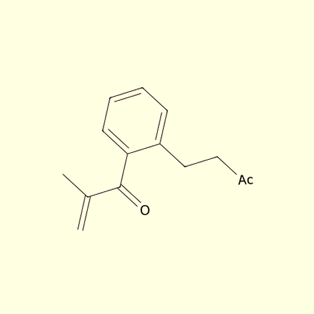 C=C(C)C(=O)c1ccccc1CCC(C)=O